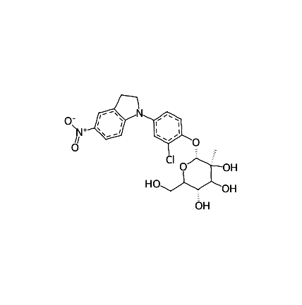 C[C@]1(O)C(O)[C@H](O)C(CO)O[C@@H]1Oc1ccc(N2CCc3cc([N+](=O)[O-])ccc32)cc1Cl